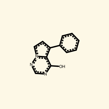 Oc1ncnn2ccc(-c3ccccc3)c12